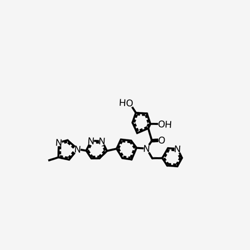 Cc1cn(-c2ccc(-c3ccc(N(Cc4cccnc4)C(=O)c4ccc(O)cc4O)cc3)nn2)cn1